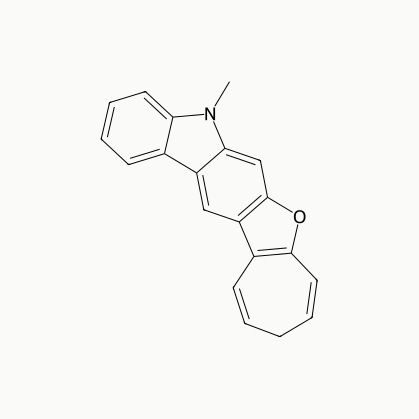 Cn1c2ccccc2c2cc3c4c(oc3cc21)C=CCC=C4